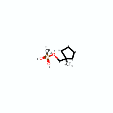 O=S(=O)(OCC1(C(F)(F)F)CCCC1)C(F)(F)F